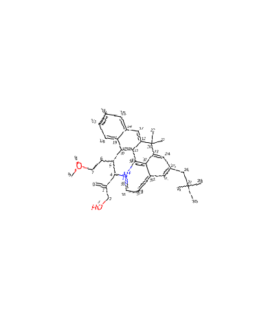 C=C(CO)C1C(CCOC)c2c3c(cc4ccccc24)C(C)(C)c2cc(CC(C)(C)C)cc4cc[n+]1c-3c24